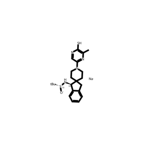 Cc1nc(N2CCC3(CC2)Cc2ccccc2[C@H]3N[S@+]([O-])C(C)(C)C)cnc1S.[Na]